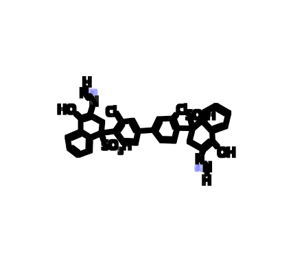 [H]/N=N/C1=C(O)c2ccccc2C(c2ccc(-c3ccc(C4(S(=O)(=O)O)CC(/N=N/[H])=C(O)c5ccccc54)c(Cl)c3)cc2Cl)(S(=O)(=O)O)C1